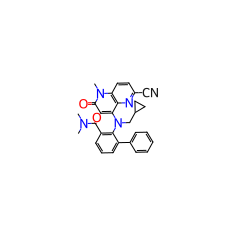 CN(C)C(=O)c1cccc(-c2ccccc2)c1N(CC1CC1)c1cc(=O)n(C)c2ccc(C#N)nc12